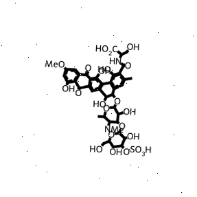 CNC1C(C)OC(OC2c3cc(C)c(C(=O)NC(CO)C(=O)O)c(O)c3-c3c(cc4c(c3O)C(=O)c3cc(OC)cc(O)c3C4=O)C2O)C(O)C1OC1OC(CO)C(O)C(OS(=O)(=O)O)C1O